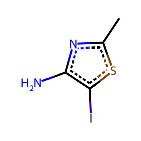 Cc1nc(N)c(I)s1